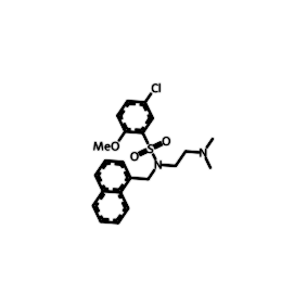 COc1ccc(Cl)cc1S(=O)(=O)N(CCN(C)C)Cc1cccc2ccccc12